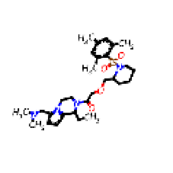 CCC1c2ccc(CN(C)C)n2CCN1C(=O)COCC1CCCCN1S(=O)(=O)c1c(C)cc(C)cc1C